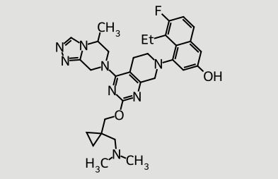 CCc1c(F)ccc2cc(O)cc(N3CCc4c(nc(OCC5(CN(C)C)CC5)nc4N4Cc5nncn5C(C)C4)C3)c12